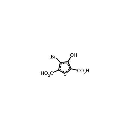 CC(C)(C)c1c(C(=O)O)sc(C(=O)O)c1O